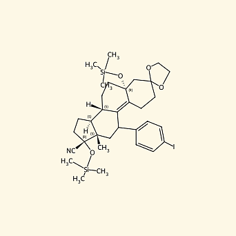 C[C@]12CC(c3ccc(I)cc3)C3=C4CCC5(C[C@]4(O[Si](C)(C)C)CC[C@H]3[C@@H]1CC[C@@]2(C#N)O[Si](C)(C)C)OCCO5